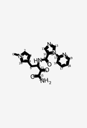 Cn1ccc(CC(NC(=O)c2cncn2-c2ccccn2)C(=O)C(N)=O)c1